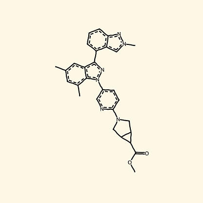 COC(=O)C1C2CN(c3ccc(-n4nc(-c5cccc6nn(C)cc56)c5cc(C)cc(C)c54)cn3)CC21